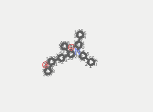 c1ccc(-c2ccc(N(c3ccc(-c4ccccc4)cc3)c3ccc(-c4ccc(-c5ccc6oc7ccccc7c6c5)cc4)c4c3oc3ccccc34)cc2)cc1